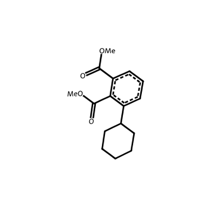 COC(=O)c1cccc(C2CCCCC2)c1C(=O)OC